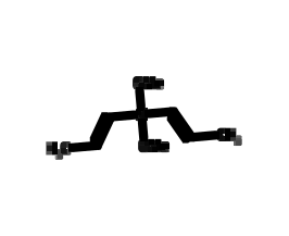 CC=C[Si](C=CC)(OC)OC